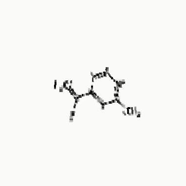 C=C(F)c1ccnc(C)c1